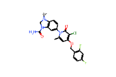 CC(=O)N1CN(C(N)=O)c2cc(-n3c(C)cc(OCc4ccc(F)cc4F)c(Cl)c3=O)ccc21